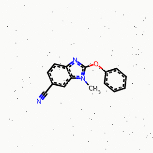 Cn1c(Oc2ccccc2)nc2ccc(C#N)cc21